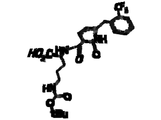 CC(C)(C)OC(=O)NCCC[C@H](NC(=O)c1ccc(Cc2ccccc2C(F)(F)F)[nH]c1=O)C(=O)O